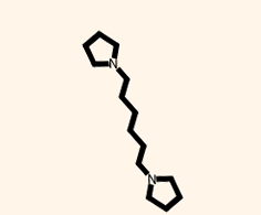 C(CCCN1CCCC1)CCN1CCCC1